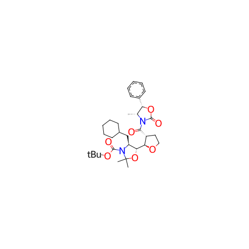 C[C@@H]1[C@H](c2ccccc2)OC(=O)N1C(=O)[C@@H]1CCO[C@H]1[C@@H]1OC(C)(C)N(C(=O)OC(C)(C)C)[C@H]1CC1CCCCC1